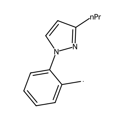 [CH2]c1ccccc1-n1ccc(CCC)n1